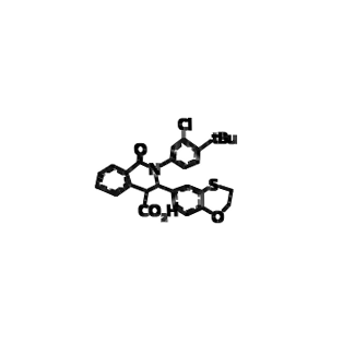 CC(C)(C)c1ccc(N2C(=O)c3ccccc3C(C(=O)O)C2c2ccc3c(c2)SCCO3)cc1Cl